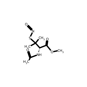 COC(=O)[C@H](NC(C)=O)C(C)(C)SN=O